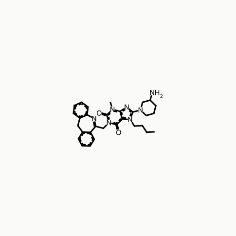 CCCCn1c(N2CCCC(N)C2)nc2c1c(=O)n(CC1=Nc3ccccc3Cc3ccccc31)c(=O)n2C